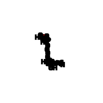 Cc1ncsc1-c1ccc(CNC(=O)[C@@H]2C[C@@H](O)CN2C(=O)[C@@H](NC(=O)CCOCCOCCOCCOCCNc2cccc3c2C(=O)N(C2CCC(=O)NC2=O)C3=O)C(C)(C)C)cc1